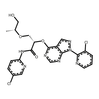 C[C@H](CO)OC[C@H](Oc1ncnc2c1cnn2-c1ncccc1Cl)C(=O)Nc1ccc(Cl)cn1